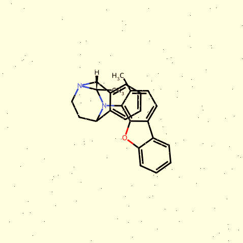 Cc1ccc2c(oc3ccccc32)c1N1C2CCN(Cc3ccccc32)[C@@H]1C